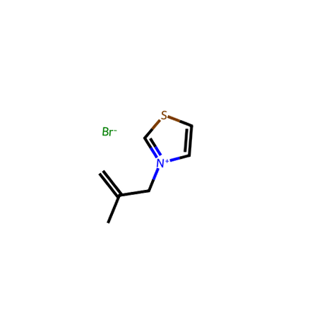 C=C(C)C[n+]1ccsc1.[Br-]